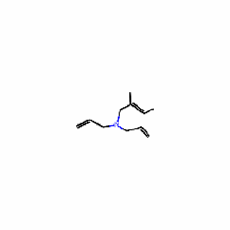 C=CCN(CC=C)CC(C)=CC